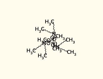 CCCCCCCCCCN(CCCCCCCCCC)CCC(CC)OC(=O)C1C[C@H](C(=O)OC(CC)CCN(CCCCCCCCCC)CCCCCCCCCC)C[C@H](C(=O)OC(CC)CCN(CCCCCCCCCC)CCCCCCCCCC)C1